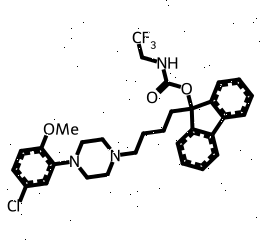 COc1ccc(Cl)cc1N1CCN(CCCCC2(OC(=O)NCC(F)(F)F)c3ccccc3-c3ccccc32)CC1